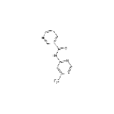 O=C(Nc1cc(C(F)(F)F)ccn1)c1cccnc1